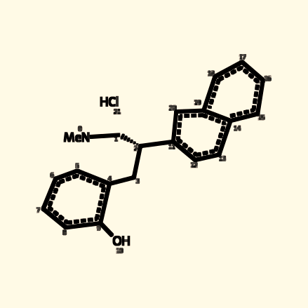 CNC[C@@H](Cc1ccccc1O)c1ccc2ccccc2c1.Cl